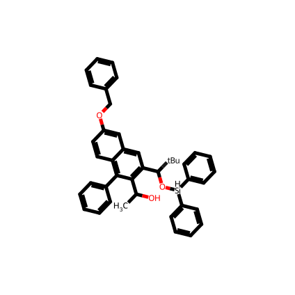 CC(O)c1c(C(O[SiH](c2ccccc2)c2ccccc2)C(C)(C)C)cc2cc(OCc3ccccc3)ccc2c1-c1ccccc1